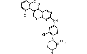 C[C@@H]1CNCCN1c1ccc(Nc2ncc3c(n2)OCN(c2c(Cl)cccc2Cl)C3=O)cc1Cl